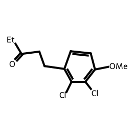 CCC(=O)CCc1ccc(OC)c(Cl)c1Cl